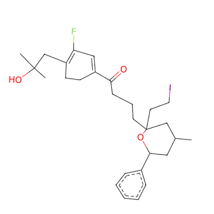 CC1CC(c2ccccc2)OC(CCI)(CCCC(=O)C2=CC(F)=C(CC(C)(C)O)CC2)C1